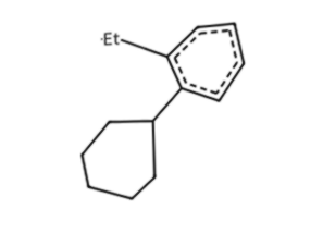 C[CH]c1ccccc1C1CCCCC1